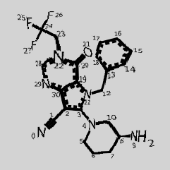 N#Cc1c(N2CCC[C@H](N)C2)n(Cc2ccccc2)c2c(=O)n(CC(F)(F)F)cnc12